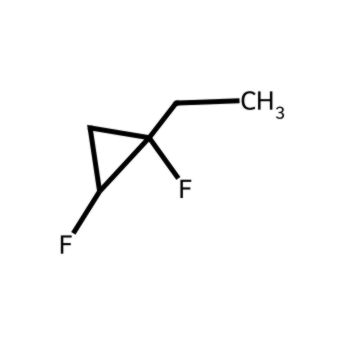 CCC1(F)CC1F